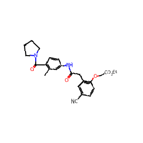 CCOC(=O)COc1ccc(C#N)cc1CC(=O)Nc1ccc(C(=O)N2CCCC2)c(C)c1